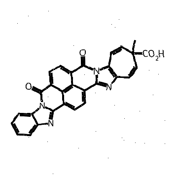 CC1(C(=O)O)C=Cc2nc3c4ccc5c6c(ccc(c(=O)n3c2C=C1)c46)c(=O)n1c2ccccc2nc51